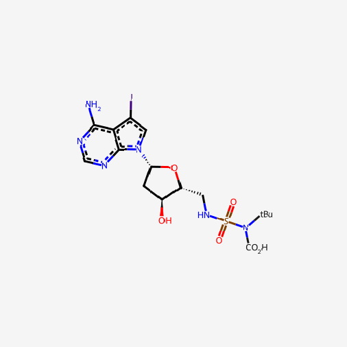 CC(C)(C)N(C(=O)O)S(=O)(=O)NC[C@H]1O[C@@H](n2cc(I)c3c(N)ncnc32)C[C@@H]1O